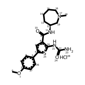 COc1ccc(-c2cc(C(=O)N[C@H]3CCCCN(C)C3)c(NC(N)=O)s2)cc1.Cl